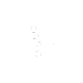 Cc1c(C(=O)Nc2cccc(C(F)(F)F)c2)cc(-c2ccccn2)n1CCCN1CCOCC1